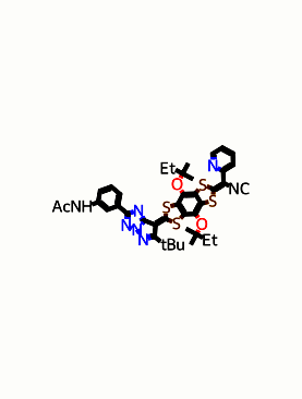 [C-]#[N+]C(=C1Sc2c(OC(C)(C)CC)c3c(c(OC(C)(C)CC)c2S1)SC(=c1c(C(C)(C)C)nn2nc(-c4cccc(NC(C)=O)c4)nc12)S3)c1ccccn1